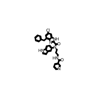 O=C(NCCCN(C(=O)c1nc2c(Cc3ccccc3)cc(Cl)cc2[nH]1)c1ccc2[nH]ccc2c1)c1cccnc1